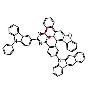 c1ccc(-c2nc(-c3ccc4c(c3)c3ccccc3n4-c3ccccc3)nc(-c3ccc(-n4c5ccccc5c5cc6ccccc6cc54)cc3-c3c4ccccc4cc4oc5ccccc5c34)n2)cc1